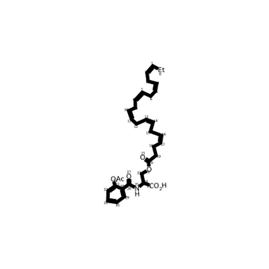 CC/C=C\C/C=C\C/C=C\C/C=C\C/C=C\C/C=C\CCC(=O)OCC(NC(=O)c1ccccc1OC(C)=O)C(=O)O